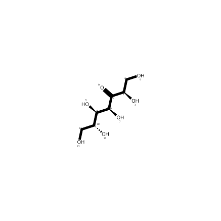 O=C([C@H](O)CO)[C@@H](O)[C@H](O)[C@H](O)CO